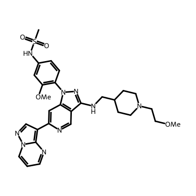 COCCN1CCC(CNc2nn(-c3ccc(NS(C)(=O)=O)cc3OC)c3cc(-c4cnn5cccnc45)ncc23)CC1